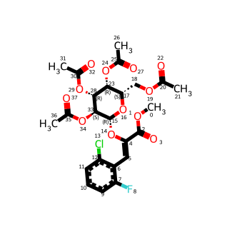 COC(=O)C(=Cc1c(F)cccc1Cl)O[C@H]1O[C@@H](COC(C)=O)[C@@H](OC(C)=O)[C@@H](OC(C)=O)[C@@H]1OC(C)=O